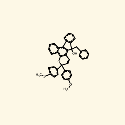 COc1ccc(C2(c3ccc(OC)cc3)C=Cc3c4c(c5ccccc5c3O2)-c2ccccc2C4(O)Cc2ccccc2)cc1